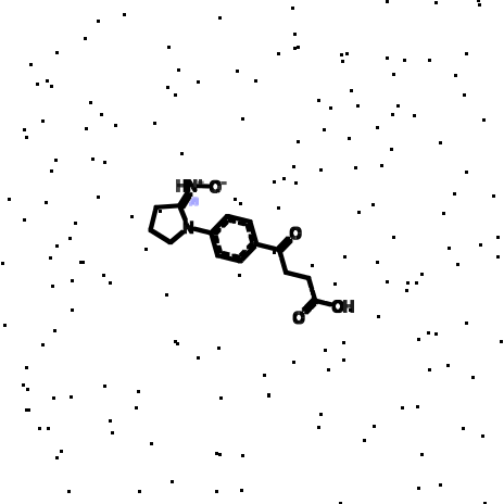 O=C(O)CCC(=O)c1ccc(N2CCC/C2=[NH+]/[O-])cc1